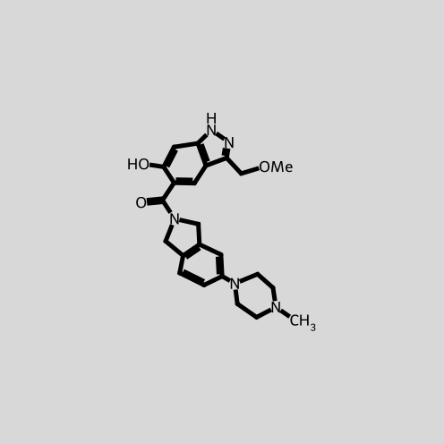 COCc1n[nH]c2cc(O)c(C(=O)N3Cc4ccc(N5CCN(C)CC5)cc4C3)cc12